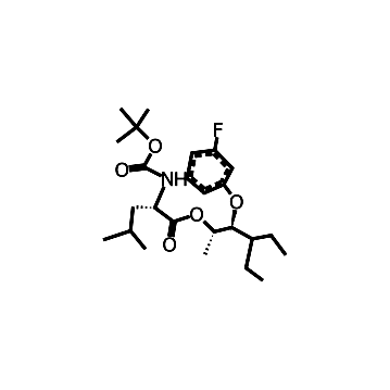 CCC(CC)[C@H](Oc1cccc(F)c1)[C@H](C)OC(=O)[C@H](CC(C)C)NC(=O)OC(C)(C)C